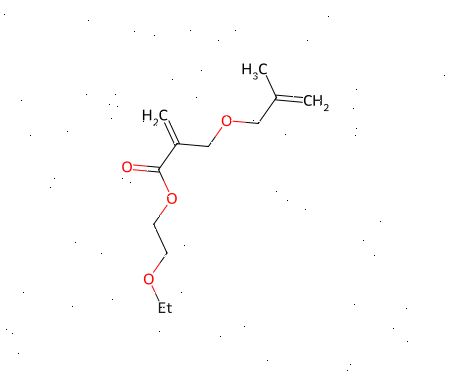 C=C(C)COCC(=C)C(=O)OCCOCC